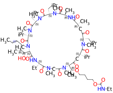 C/C=C/C[C@@H](C)[C@@H](O)[C@H]1C(=O)N[C@@H](CC)C(=O)N(C)CC(=O)N(C)[C@@H]([C@@H](C)OCCCCOC(=O)NCC)C(=O)C[C@@H](C(C)C)C(=O)N(C)[C@@H](CC(C)C)C(=O)C[C@@H](C)C(=O)N[C@H](C)C(=O)N(C)[C@@H](CC(C)C)C(=O)N(C)[C@@H](CC(C)C)C(=O)N(C)[C@@H](C(C)C)C(=O)N1C